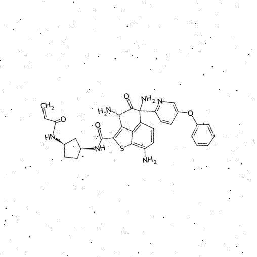 C=CC(=O)N[C@@H]1CC[C@H](NC(=O)c2sc3c(N)ccc4c3c2C(N)C(=O)C4(N)c2ccc(Oc3ccccc3)cn2)C1